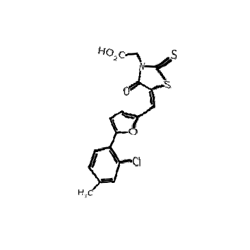 Cc1ccc(-c2ccc(/C=C3/SC(=S)N(CC(=O)O)C3=O)o2)c(Cl)c1